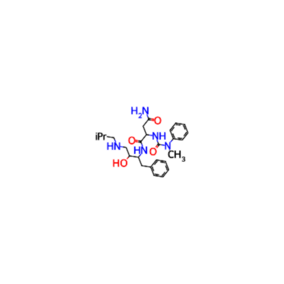 CC(C)CNCC(O)C(Cc1ccccc1)NC(=O)C(CC(N)=O)NC(=O)N(C)c1ccccc1